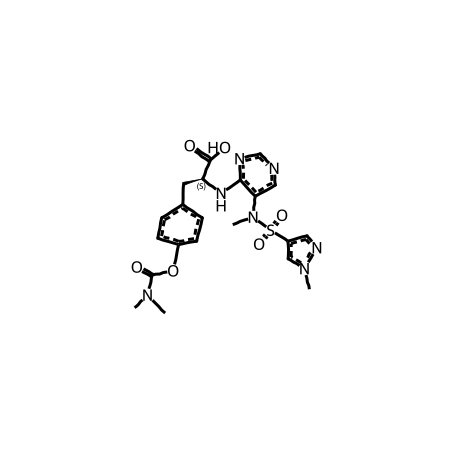 CN(C)C(=O)Oc1ccc(C[C@H](Nc2ncncc2N(C)S(=O)(=O)c2cnn(C)c2)C(=O)O)cc1